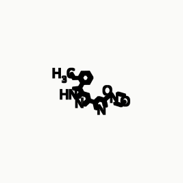 CCc1ccccc1-c1c[nH]c2ncc(-c3cncc(C(=O)N4CCOCC4)c3)cc12